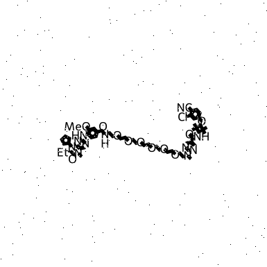 CC[C@@H]1C(=O)N(C)c2cnc(Nc3ccc(C(=O)NCCOCCOCCOCCOCCOCCOCCN(C)c4ncc(C(=O)N[C@H]5C(C)(C)[C@H](Oc6ccc(C#N)c(Cl)c6)C5(C)C)cn4)cc3OC)nc2N1C1CCCC1